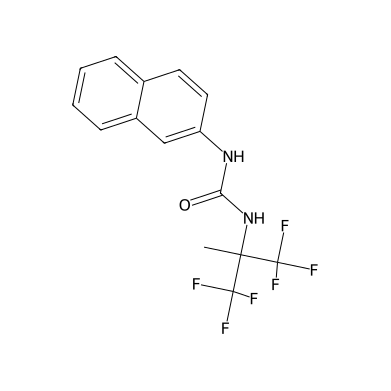 CC(NC(=O)Nc1ccc2ccccc2c1)(C(F)(F)F)C(F)(F)F